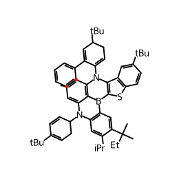 CCC(C)(C)c1cc2c(cc1C(C)C)N(C1C=CC(C(C)(C)C)=CC1)c1cc(C)cc3c1B2c1sc2ccc(C(C)(C)C)cc2c1N3C1=CCC(C(C)(C)C)C=C1c1ccccc1